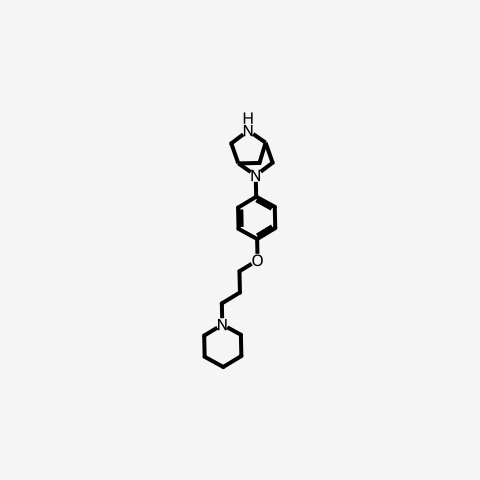 c1cc(N2CC3CC2CN3)ccc1OCCCN1CCCCC1